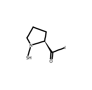 O=C(I)[C@@H]1CCCN1S